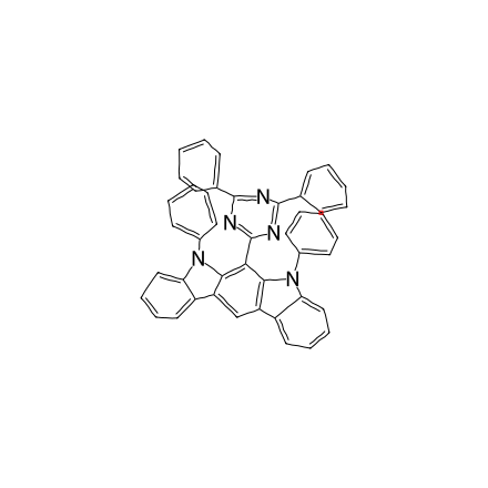 c1ccc(-c2nc(-c3ccccc3)nc(-c3c4c(cc5c6ccccc6n(-c6ccccc6)c35)c3ccccc3n4-c3ccccc3)n2)cc1